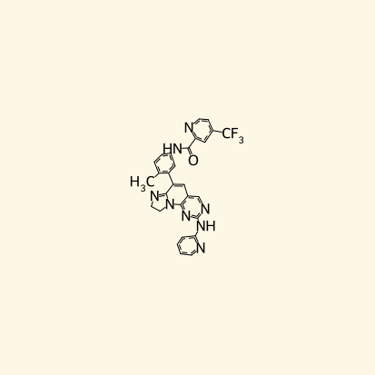 Cc1ccc(NC(=O)c2cc(C(F)(F)F)ccn2)cc1C1=Cc2cnc(Nc3ccccn3)nc2N2CCN=C12